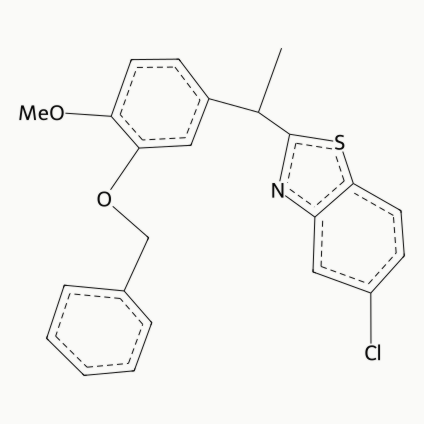 COc1ccc(C(C)c2nc3cc(Cl)ccc3s2)cc1OCc1ccccc1